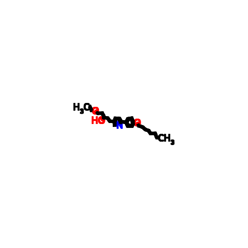 CCCCCCCCOc1ccc(-c2ccc(CCC(O)CCOCCC)cn2)cc1